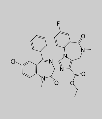 CCOC(=O)c1ncn2c1CN(C)C(=O)c1cc(F)ccc1-2.CN1C(=O)CN=C(c2ccccc2)c2cc(Cl)ccc21